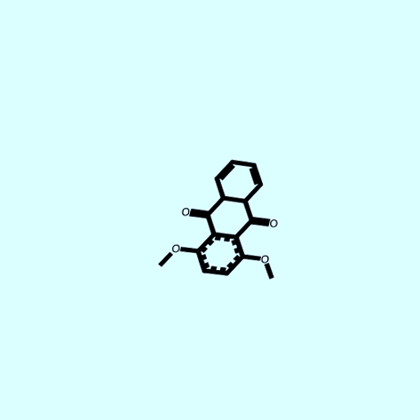 COc1ccc(OC)c2c1C(=O)C1C=CC=CC1C2=O